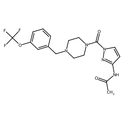 CC(=O)Nc1ccn(C(=O)N2CCN(Cc3cccc(OC(F)(F)F)c3)CC2)n1